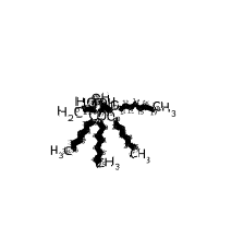 C=CCP(O)(O)(O)C(C=C(OCCCCCCCC)OCCCCCCCC)(OCCCCCCCC)OCCCCCCCC